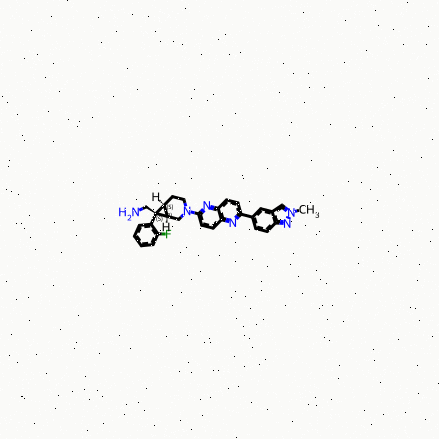 Cn1cc2cc(-c3ccc4nc(N5CC[C@H]6[C@@H](C5)[C@]6(CN)c5ccccc5F)ccc4n3)ccc2n1